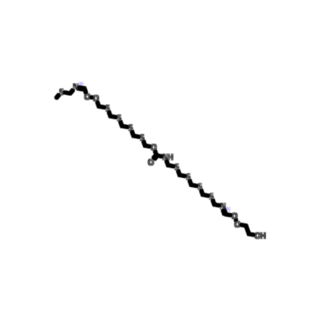 CSC/N=C\OOCSCSCSCSCOC(=O)NCSCSCSCSC/N=C/OOCCO